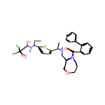 CNC(NC(O)C(F)(F)P)c1ccc(C(C)NCC2COCCN2C(=O)c2ccccc2-c2ccccc2)s1